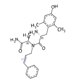 Cc1cc(O)cc(C)c1C[C@@H](N)C(=O)N(C/C=C\c1ccccc1)[C@H](C)C(N)=O